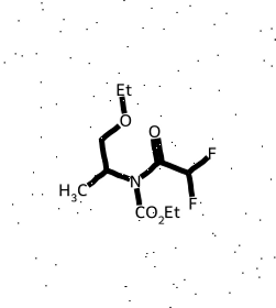 CCOCC(C)N(C(=O)OCC)C(=O)C(F)F